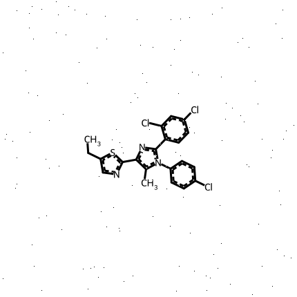 CCc1cnc(-c2nc(-c3ccc(Cl)cc3Cl)n(-c3ccc(Cl)cc3)c2C)s1